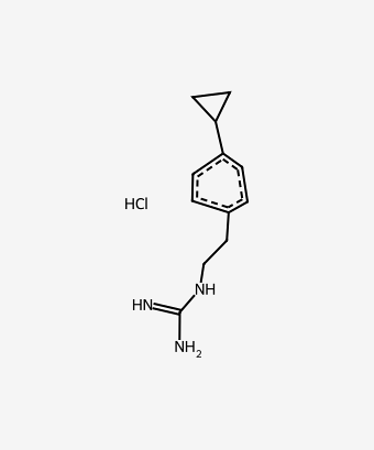 Cl.N=C(N)NCCc1ccc(C2CC2)cc1